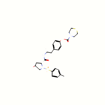 Cc1ccc(S(=O)(=O)N2CC(O)C[C@H]2C(=O)N[C@@H](Cc2ccc(OC(=O)N3CCSCC3)cc2)C(=O)O)cc1